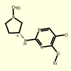 CCOc1nc(N[C@@H]2CCN(C=O)C2)ncc1Cl